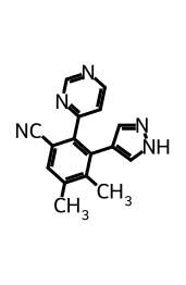 Cc1cc(C#N)c(-c2ccncn2)c(-c2cn[nH]c2)c1C